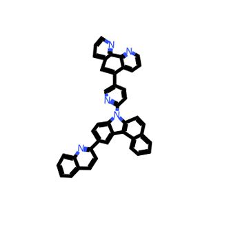 c1ccc2nc(-c3ccc4c(c3)c3c5ccccc5ccc3n4-c3ccc(-c4cc5cccnc5c5ncccc45)cn3)ccc2c1